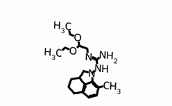 CCOC(CN=C(N)NN1CC2CCCc3ccc(C)c1c32)OCC